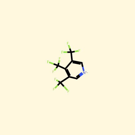 FC(F)(F)C1=[C][N+]=[C]C(C(F)(F)F)=C1C(F)(F)F